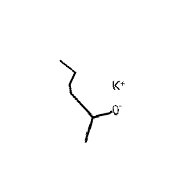 CCCC(C)[O-].[K+]